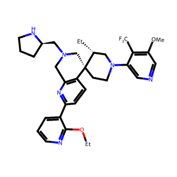 CCOc1ncccc1-c1ccc2c(n1)CN(C[C@H]1CCCN1)C[C@]21CCN(c2cncc(OC)c2C(F)(F)F)C[C@H]1CC